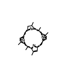 CC1=Cc2cc3cc(C)c([nH]3)c(C)c3nc(cc4cc(C)c([nH]4)c(C)c1n2)CC3C